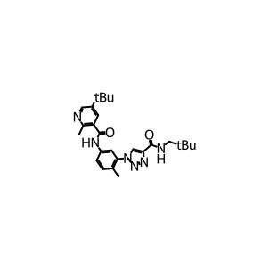 Cc1ccc(NC(=O)c2cc(C(C)(C)C)cnc2C)cc1-n1cc(C(=O)NCC(C)(C)C)nn1